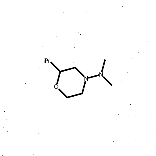 CC(C)C1CN(N(C)C)CCO1